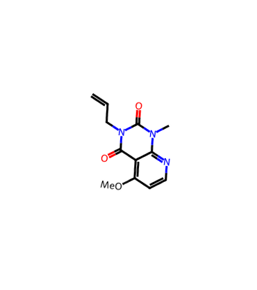 C=CCn1c(=O)c2c(OC)ccnc2n(C)c1=O